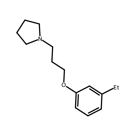 CCc1cccc(OCCCN2CCCC2)c1